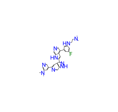 CN(C)CCNc1cc(F)cc(-c2cncc3[nH]c(-c4n[nH]c5cnc(-c6cncc(N(C)C)c6)cc45)cc23)c1